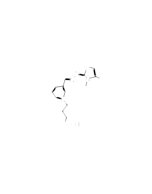 Cc1csc(=NN=Cc2ccc[n+](CCCS(=O)(=O)O)c2)n1C